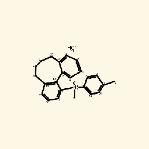 Cc1ccc([N+](C)(C)c2cccc3c2-c2ccccc2CCCC3)cc1.[OH-]